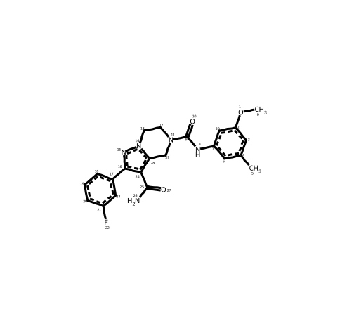 COc1cc(C)cc(NC(=O)N2CCn3nc(-c4cccc(F)c4)c(C(N)=O)c3C2)c1